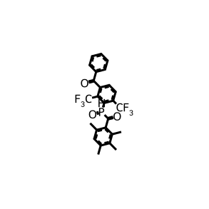 Cc1cc(C)c(C(=O)[PH](=O)c2c(C(F)(F)F)ccc(C(=O)c3ccccc3)c2C(F)(F)F)c(C)c1C